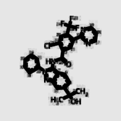 CC(C)(O)c1ccc2c(NC(=O)c3cc(-c4ncccn4)c(C(F)(F)F)cc3Cl)n(-c3ccccc3)nc2c1